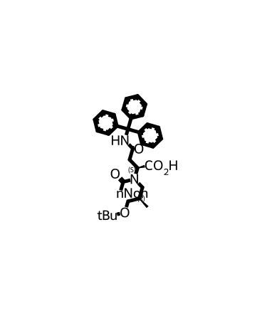 CCCCCCCCCC(=O)N(C[C@@H](C)COC(C)(C)C)[C@@H](CC(=O)NC(c1ccccc1)(c1ccccc1)c1ccccc1)C(=O)O